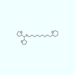 C(CCCCSC(C1CCCO1)C1CCCO1)CCCCC1CCCCO1